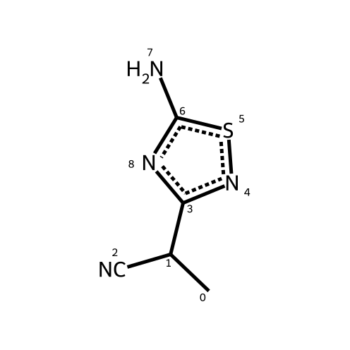 CC(C#N)c1nsc(N)n1